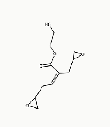 O=C(OCCO)/C(=C\CC1CO1)CC1CO1